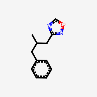 CC(Cc1ccccc1)Cc1ncon1